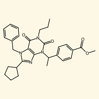 CCCn1c(=O)c2c(nc(C3CCCC3)n2Cc2ccccc2)n(C(C)c2ccc(C(=O)OC)cc2)c1=O